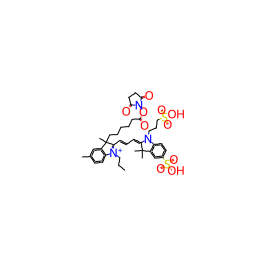 CCC[N+]1=C(/C=C/C=C2/N(CCCS(=O)(=O)O)c3ccc(S(=O)(=O)O)cc3C2(C)C)C(C)(CCCCCC(=O)ON2C(=O)CCC2=O)c2cc(C)ccc21